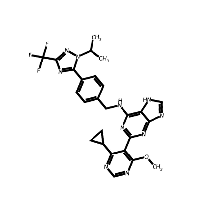 COc1ncnc(C2CC2)c1-c1nc(NCc2ccc(-c3nc(C(F)(F)F)nn3C(C)C)cc2)c2[nH]cnc2n1